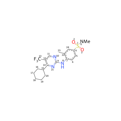 CNS(=O)(=O)c1ccc(Nc2ncc(C(F)(F)F)c(C3CCCCC3)n2)c(C)c1